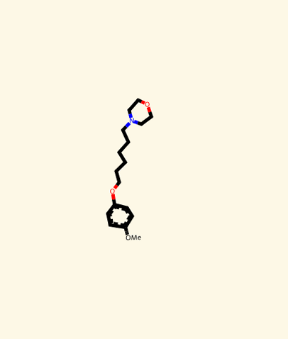 COc1ccc(OCCCCCCN2CCOCC2)cc1